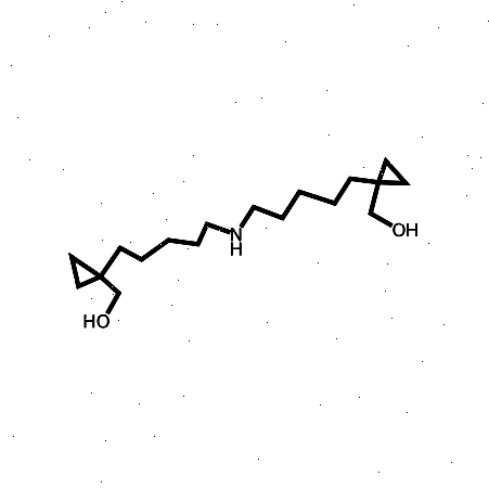 OCC1(CCCCCNCCCCCC2(CO)CC2)CC1